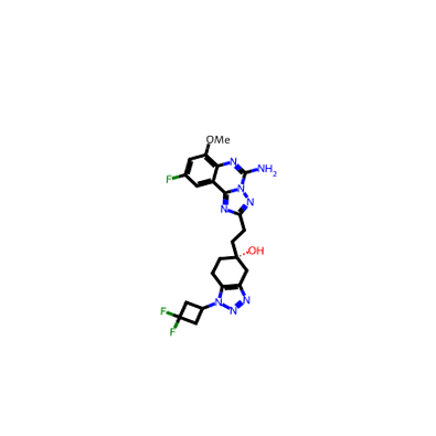 COc1cc(F)cc2c1nc(N)n1nc(CC[C@]3(O)CCc4c(nnn4C4CC(F)(F)C4)C3)nc21